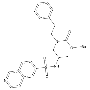 CC(CN(CCc1ccccc1)C(=O)OC(C)(C)C)NS(=O)(=O)c1ccc2cnccc2c1